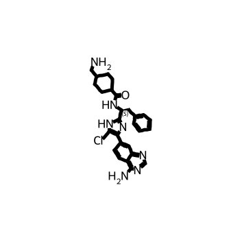 NCC1CCC(C(=O)N[C@@H](Cc2ccccc2)c2nc(-c3ccc4c(N)ncnc4c3)c(Cl)[nH]2)CC1